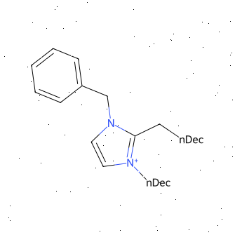 CCCCCCCCCCCc1n(Cc2ccccc2)cc[n+]1CCCCCCCCCC